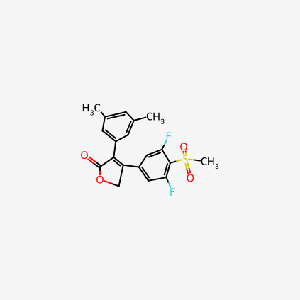 Cc1cc(C)cc(C2=C(c3cc(F)c(S(C)(=O)=O)c(F)c3)COC2=O)c1